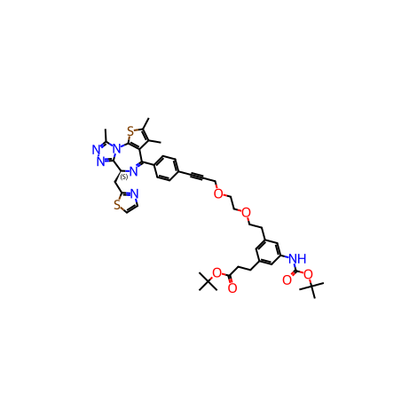 Cc1sc2c(c1C)C(c1ccc(C#CCOCCOCCc3cc(CCC(=O)OC(C)(C)C)cc(NC(=O)OC(C)(C)C)c3)cc1)=N[C@@H](Cc1nccs1)c1nnc(C)n1-2